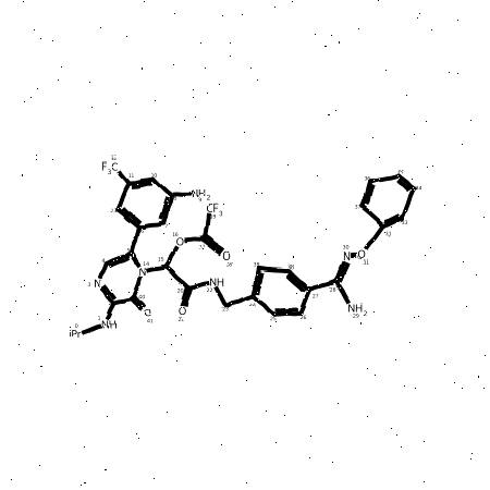 CC(C)Nc1ncc(-c2cc(N)cc(C(F)(F)F)c2)n(C(OC(=O)C(F)(F)F)C(=O)NCc2ccc(C(N)=NOc3ccccc3)cc2)c1=O